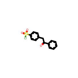 O=C(Cc1ccc(S(=O)(=O)Cl)cc1)c1ccccc1